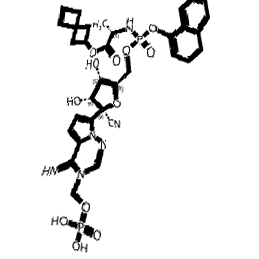 C[C@H](NP(=O)(OC[C@H]1O[C@@](C#N)(c2ccc3c(=N)n(COP(=O)(O)O)cnn23)[C@H](O)[C@@H]1O)Oc1cccc2ccccc12)C(=O)OC1CC2(CCC2)C1